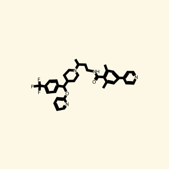 Cc1cc(-c2ccncc2)cc(C)c1C(=O)NCCC(C)N1CCC(C(Oc2ccccn2)c2ccc(C(F)(F)F)cc2)CC1